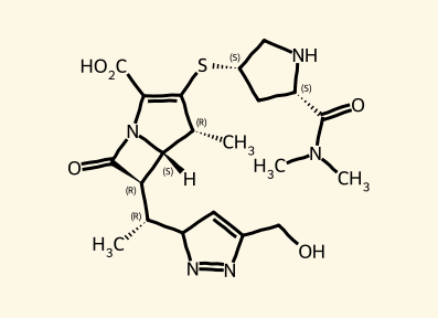 C[C@H]1C(S[C@@H]2CN[C@H](C(=O)N(C)C)C2)=C(C(=O)O)N2C(=O)[C@H]([C@@H](C)C3C=C(CO)N=N3)[C@@H]12